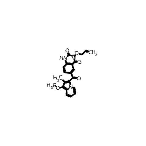 C=CCOn1c(=O)[nH]c2ccc(C(=O)c3c(C)c(OC)c4ccccn34)cc2c1=O